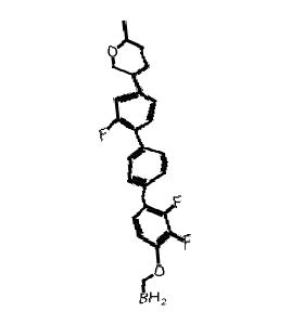 BCOc1ccc(-c2ccc(-c3ccc(C4CCC(C)OC4)cc3F)cc2)c(F)c1F